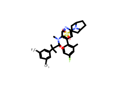 Cc1cc(F)ccc1-c1cc(N2C3CCC2CC(S(C)(=O)=O)C3)ncc1N(C)C(=O)C(C)(C)c1cc(C(F)(F)F)cc(C(F)(F)F)c1